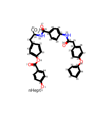 CCCCCCCOc1ccc(C(=O)Oc2ccc(C[C@H](NC(=O)c3ccc(NC(=O)Cc4ccc(Oc5ccccc5)cc4)cc3)C(=O)O)cc2)cc1